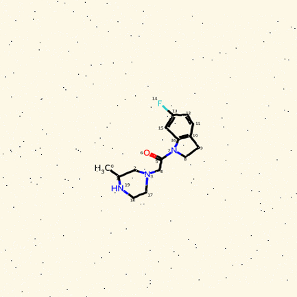 CC1CN(CC(=O)N2CCc3ccc(F)cc32)CCN1